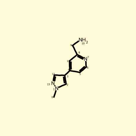 Cn1cc(-c2ccnc(CN)c2)cn1